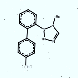 CC(C)(C)N1C=NNN1c1ccccc1-c1ccc(C=O)cc1